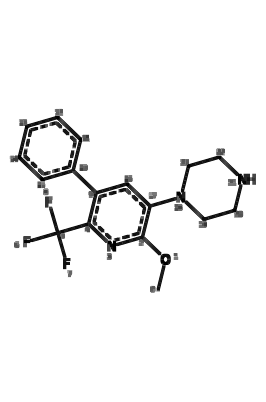 COc1nc(C(F)(F)F)c(-c2ccccc2)cc1N1CCNCC1